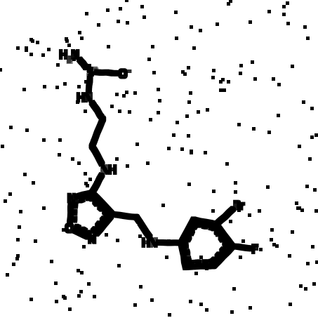 N[S+]([O-])NCCNc1nonc1CNc1ccc(F)c(Br)c1